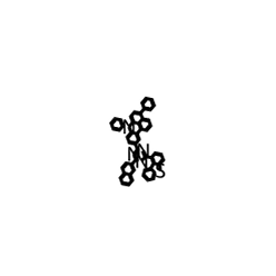 c1ccc(-c2ccc3c4c(cccc24)-c2cc(-c4nc(-c5ccc6ccccc6c5)nc(-c5cccc6sc7ccccc7c56)n4)ccc2N3c2ccccc2)cc1